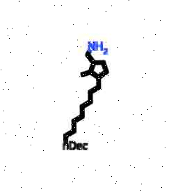 CCCCCCCCCCCCCCCCCCC1CCC(CN)C1C